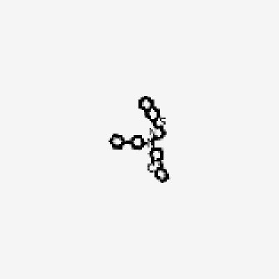 c1ccc(-c2ccc(N(c3ccc4c(c3)oc3ccccc34)c3ccc4sc5cc6ccccc6cc5c4n3)cc2)cc1